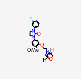 COc1ccc(N2CCN(c3cccc(F)c3)C2=O)cc1OCCN1C[C@@H]2C[C@H]1CO2